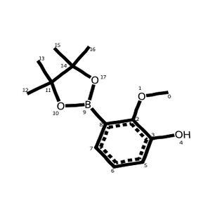 COc1c(O)cccc1B1OC(C)(C)C(C)(C)O1